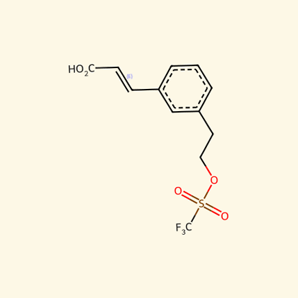 O=C(O)/C=C/c1cccc(CCOS(=O)(=O)C(F)(F)F)c1